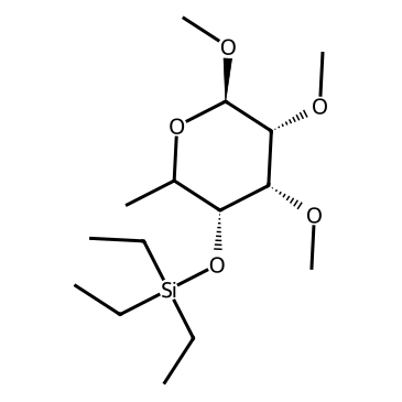 CC[Si](CC)(CC)O[C@@H]1C(C)O[C@@H](OC)[C@H](OC)[C@@H]1OC